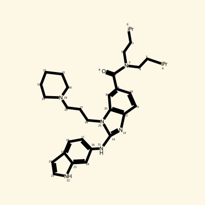 CC(C)CCN(CCC(C)C)C(=O)c1ccc2nc(Nc3ccc4cc[nH]c4c3)n(CCCN3CCCCC3)c2c1